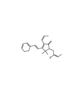 C=C1C(/C=C\C)=C(/C=C/C2=CC=CCC2)C(C)(C)C1C/C(I)=C\C